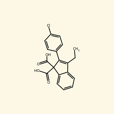 CCC1=C(c2ccc(Cl)cc2)C(C(=O)O)(C(=O)O)c2ccccc21